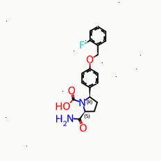 NC(=O)[C@@H]1CC[C@H](c2ccc(OCc3ccccc3F)cc2)N1C(=O)O